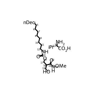 CC(C)[C@H](N)C(=O)O.CCCCCCCCCCCCCCCCCCNC(=O)OCC(CO)C(=O)NOC